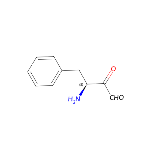 N[C@@H](Cc1ccccc1)C(=O)C=O